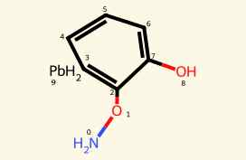 NOc1ccccc1O.[PbH2]